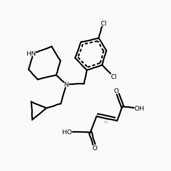 Clc1ccc(CN(CC2CC2)C2CCNCC2)c(Cl)c1.O=C(O)/C=C/C(=O)O